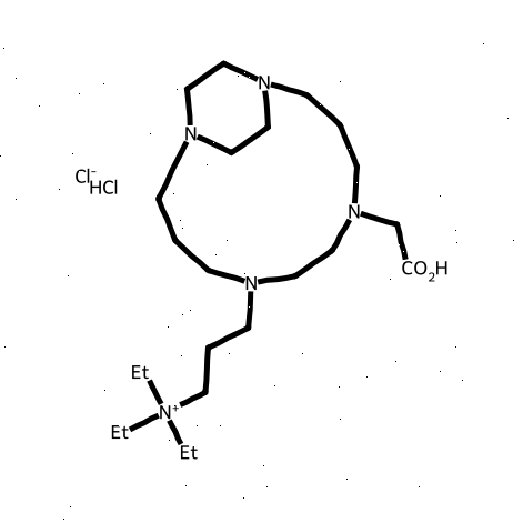 CC[N+](CC)(CC)CCCN1CCCN2CCN(CCCN(CC(=O)O)CC1)CC2.Cl.[Cl-]